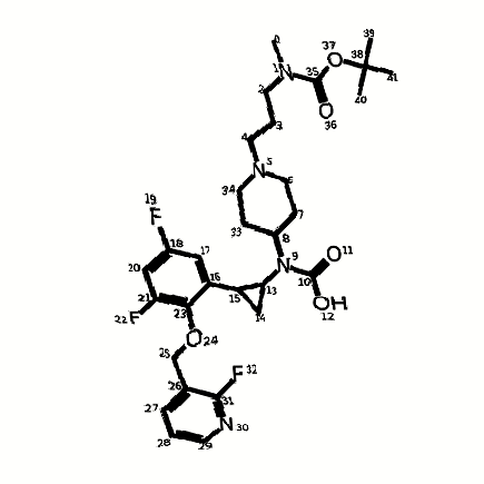 CN(CCCN1CCC(N(C(=O)O)C2CC2c2cc(F)cc(F)c2OCc2cccnc2F)CC1)C(=O)OC(C)(C)C